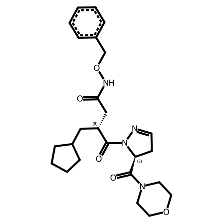 O=C(C[C@@H](CC1CCCC1)C(=O)N1N=CC[C@H]1C(=O)N1CCOCC1)NOCc1ccccc1